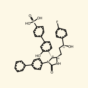 O=C1N[C@H](CC[C@H](O)c2ccc(F)cc2)[C@@H](c2ccc(-c3ccc(P(=O)(O)O)cc3)cc2O)N1c1ccc(-c2ccccc2)cc1